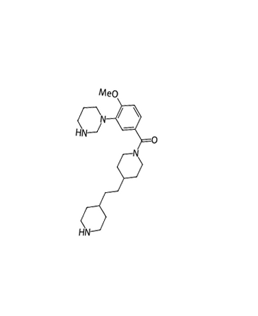 COc1ccc(C(=O)N2CCC(CCC3CCNCC3)CC2)cc1N1CCCNC1